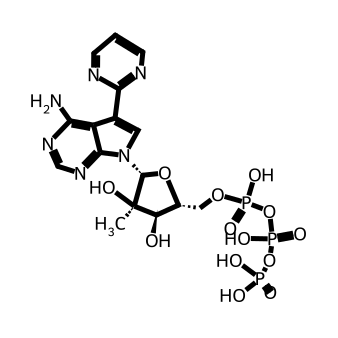 C[C@@]1(O)[C@H](O)[C@@H](COP(=O)(O)OP(=O)(O)OP(=O)(O)O)O[C@H]1n1cc(-c2ncccn2)c2c(N)ncnc21